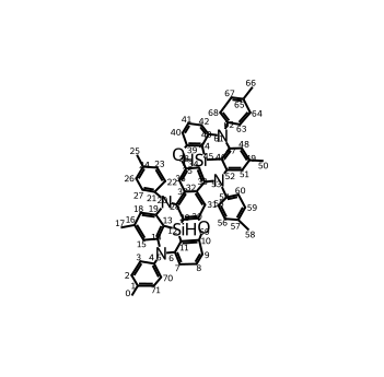 Cc1ccc(N2c3cccc4c3[SiH]3c5c2cc(C)cc5N(c2ccc(C)cc2)c2c3c(cc3c5c6c(cc23)Oc2cccc3c2[SiH]6c2c(cc(C)cc2N5c2ccc(C)cc2)N3c2ccc(C)cc2)O4)cc1